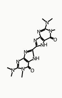 CN(C)c1nc2nc(-c3nc4nc(N(C)C)n(C)c(=O)c4[nH]3)[nH]c2c(=O)n1C